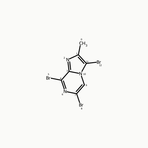 Cc1nc2c(Br)nc(Br)cn2c1Br